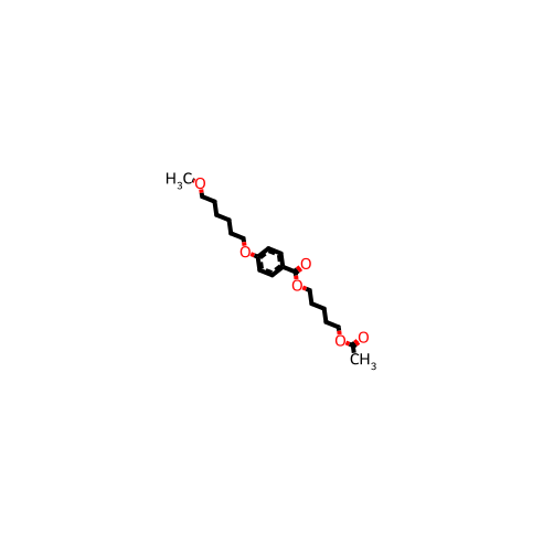 COCCCCCCOc1ccc(C(=O)OCCCCCOC(C)=O)cc1